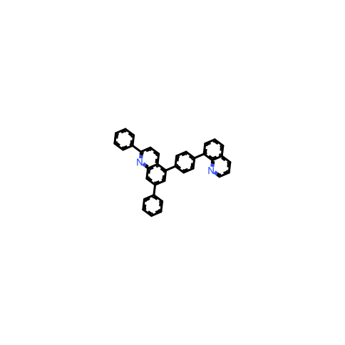 c1ccc(-c2cc(-c3ccc(-c4cccc5cccnc45)cc3)c3ccc(-c4ccccc4)nc3c2)cc1